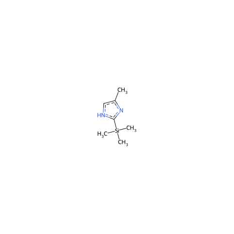 Cc1c[nH]c([Si](C)(C)C)n1